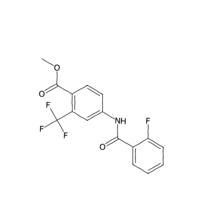 COC(=O)c1ccc(NC(=O)c2ccccc2F)cc1C(F)(F)F